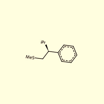 CSC[C@H](c1ccccc1)C(C)C